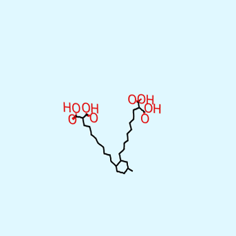 CC1CCC(CCCCCCCCCC(C(=O)O)C(=O)O)C(CCCCCCCCCC(C(=O)O)C(=O)O)C1